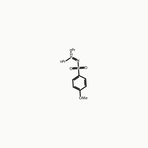 CCC[PH](CCC)=NS(=O)(=O)c1ccc(OC)cc1